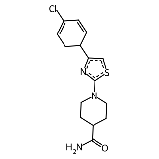 NC(=O)C1CCN(c2nc(C3C=CC(Cl)=CC3)cs2)CC1